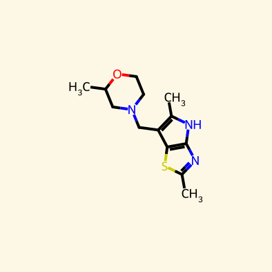 Cc1nc2[nH]c(C)c(CN3CCOC(C)C3)c2s1